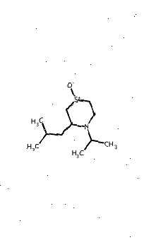 CC(C)CC1C[S+]([O-])CCN1C(C)C